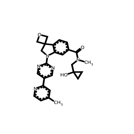 Cc1ccnc(-c2cnc(N3CC4(COC4)c4ccc(C(=O)N(C)CC5(O)CC5)cc43)nc2)c1